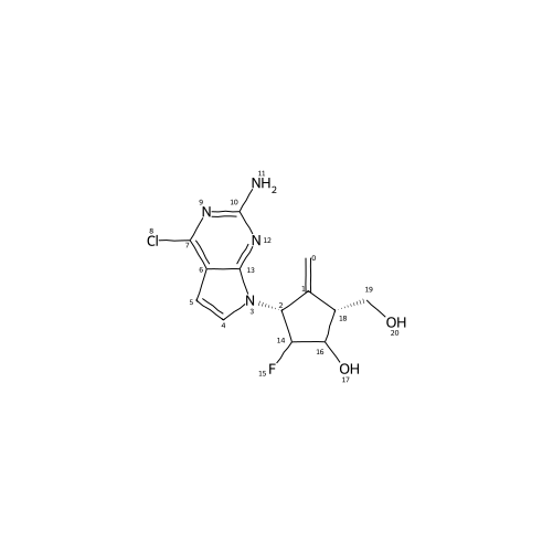 C=C1[C@@H](n2ccc3c(Cl)nc(N)nc32)C(F)C(O)[C@H]1CO